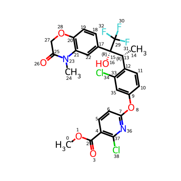 COC(=O)c1ccc(Oc2ccc([C@@H](C)[C@@](O)(c3ccc4c(c3)N(C)C(=O)CO4)C(F)(F)F)c(Cl)c2)nc1Cl